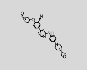 N#Cc1cc(-c2ncnc(Nc3ccc(N4CCN(C5COC5)CC4)cc3)n2)ccc1OC1CCN(C=O)C1